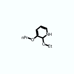 CCCOC1=CC=CN[C]1OCC